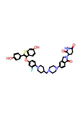 O=C1CCC(N2Cc3cc(N4CCN(CC5CCN(c6ccc(Oc7c(-c8ccc(O)cc8)sc8cc(O)ccc78)cc6F)CC5)CC4)ccc3C2=O)C(=O)N1